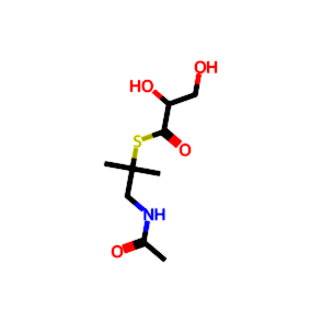 CC(=O)NCC(C)(C)SC(=O)C(O)CO